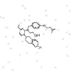 COC1=CC(N(CCO)Cc2ccc(OCCN(C)C)cc2)C([C@@H]2CCc3cc(O)ccc3C2)C=C1